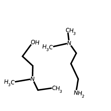 CCN(C)CCO.CN(C)CCCN